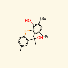 Cc1ccc(Pc2cc(C(C)(C)C)cc(C(C)(C)C)c2O)c(C(C)(C)O)c1